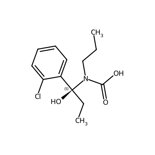 CCCN(C(=O)O)[C@](O)(CC)c1ccccc1Cl